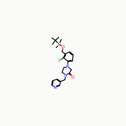 CC(C)(C)[Si](C)(C)OCc1cccc(N2CCN(Cc3cccnc3)C(=O)C2)c1F